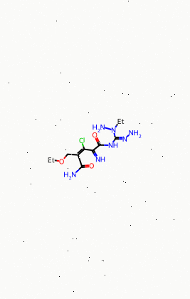 CCOC/C(C(N)=O)=C(\Cl)C(=N)C(=O)N/C(=N/N)N(N)CC